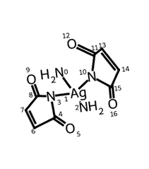 [NH2][Ag]([NH2])([N]1C(=O)C=CC1=O)[N]1C(=O)C=CC1=O